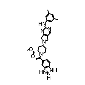 C=C(c1ccc2c(c1)NNN2)N1CC[C@@H](N2Cc3cnc(Nc4cc(C)cc(C)c4)nc3C2)C[C@H]1C(=O)OC